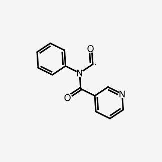 O=[C]N(C(=O)c1cccnc1)c1ccccc1